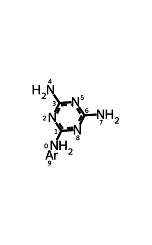 Nc1nc(N)nc(N)n1.[Ar]